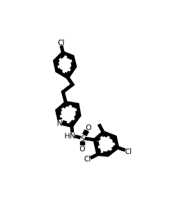 Cc1cc(Cl)cc(Cl)c1S(=O)(=O)Nc1ccc(CCc2ccc(Cl)cc2)cn1